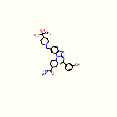 CC(C)NC(=O)C1CCC(n2/c(=N\C(=O)c3cccc(C#N)c3)[nH]c3ccc(CN4CCC(C(C)(C)O)CC4)cc32)CC1